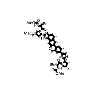 CCC(C)C(NC(=O)OC)C(=O)N1C[C@@H](COC)C[C@H]1c1nc2ccc3cc4c(cc3c2[nH]1)OCc1cc(-c2cnc(C3C[C@H](C)CN3C(=O)[C@H](NC(=O)OC)C(C)CC)[nH]2)ccc1-4